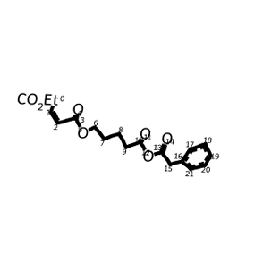 CCOC(=O)/C=C\C(=O)OCCCCC(=O)OC(=O)Cc1ccccc1